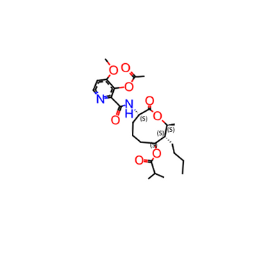 CCCC[C@H]1[C@H](C)OC(=O)[C@@H](NC(=O)c2nccc(OC)c2OC(C)=O)CCC[C@@H]1OC(=O)C(C)C